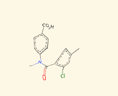 Cc1ccc(C(=O)N(C)c2ccc(C(=O)O)cc2)c(Cl)c1